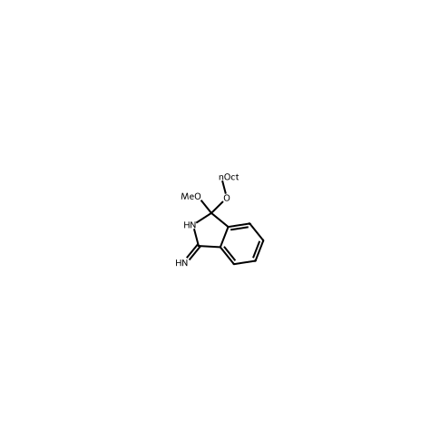 CCCCCCCCOC1(OC)NC(=N)c2ccccc21